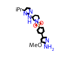 COc1cc(-c2ccc(S(=O)(=O)N3CCC[C@@H](Nc4nccc(C(C)C)n4)C3)cc2)cnc1N